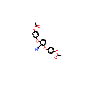 CC(=O)Oc1ccc(Oc2cccc(Oc3ccc(OC(C)=O)cc3)c2C#N)cc1